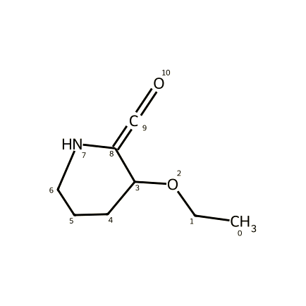 CCOC1CCCNC1=C=O